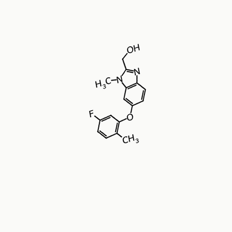 Cc1ccc(F)cc1Oc1ccc2nc(CO)n(C)c2c1